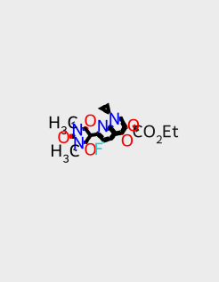 CCOC(=O)Oc1cn(C2CC2)c2nc(C3C(=O)N(C)C(=O)N(C)C3=O)c(F)cc2c1=O